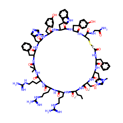 CC[C@H](C)C1NC(=O)C([C@@H](C)O)NC(=O)C(Cc2cncn2C)NC(=O)C(Cc2ccccc2)NC(=O)CSCC(C(=O)NCC(N)=O)NC(=O)C(Cc2ccc(O)cc2)NC(=O)C(Cc2c[nH]c3ccccc23)NC(=O)C(Cc2ccc(O)cc2)NC(=O)C(Cc2cncn2C)NC(=O)C(Cc2ccccc2)NC(=O)C(C)(C)NC(=O)C(CCCNC(=N)N)NC(=O)C(CCCNC(=N)N)NC(=O)C(CCCNC(=N)N)NC1=O